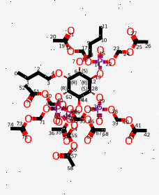 CCCCO[C@@H]1[C@H](OCCCC)[C@@H](OP(=O)(OCOC(C)=O)OCOC(C)=O)[C@H](OP(=O)(OCOC(C)=O)OCOC(C)=O)[C@@H](OP(=O)(OCOC(C)=O)OCOC(C)=O)[C@@H]1OP(=O)(OCOC(C)=O)OCOC(C)=O